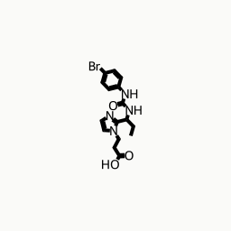 CCC(NC(=O)Nc1ccc(Br)cc1)c1nccn1CCC(=O)O